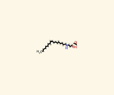 C1CO1.CCCCCCCC/C=C\CCCCCCCCNCCCO